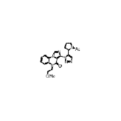 COCCn1c(=O)c2c(-n3nncc3C3CCCN3C(C)=O)ncn2c2ccccc21